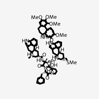 CCCN1C[C@H](CSC)C[C@@H]2c3cccc4[nH]cc(c34)C[C@H]21.CN1C[C@H](C(=O)N[C@]2(C)O[C@@]3(O)[C@@H]4CCCN4C(=O)[C@H](Cc4ccccc4)N3C2=O)C[C@@H]2c3cccc4[nH]cc(c34)C[C@H]21.COc1cc2c(c(OC)c1OC)-c1ccc(OC)c(=O)cc1[C@@H](NC(C)=O)CC2